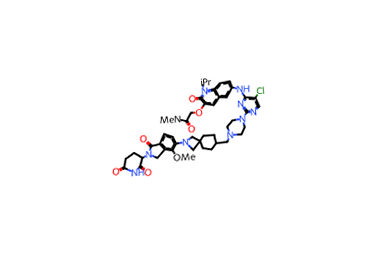 CNC(=O)COc1cc2cc(Nc3nc(N4CCN(CC5CCC6(CC5)CN(c5ccc7c(c5OC)CN(C5CCC(=O)NC5=O)C7=O)C6)CC4)ncc3Cl)ccc2n(C(C)C)c1=O